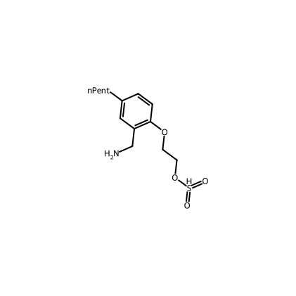 CCCCCc1ccc(OCCO[SH](=O)=O)c(CN)c1